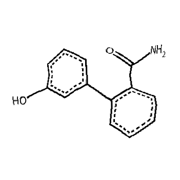 NC(=O)c1ccccc1-c1cccc(O)c1